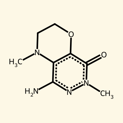 CN1CCOc2c1c(N)nn(C)c2=O